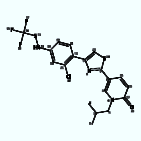 CC(C)Cn1cc(-c2nc(-c3ccc(NSC(F)(F)F)cc3Cl)cs2)ccc1=O